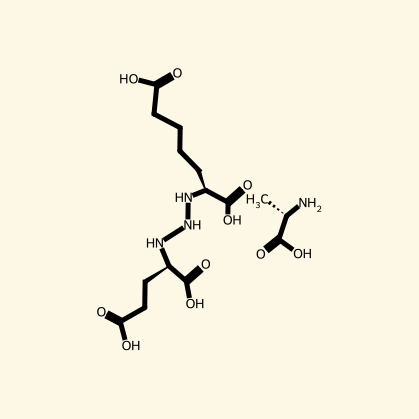 C[C@H](N)C(=O)O.O=C(O)CCCC[C@H](NNN[C@H](CCC(=O)O)C(=O)O)C(=O)O